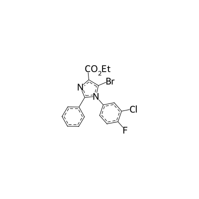 CCOC(=O)c1nc(-c2ccccc2)n(-c2ccc(F)c(Cl)c2)c1Br